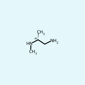 CN[C@H](C)CN